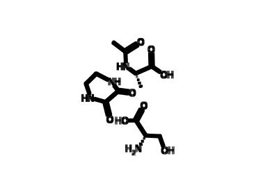 CC(=O)N[C@@H](C)C(=O)O.N[C@@H](CO)C(=O)O.O=C1NCCNC1=O